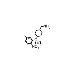 Cl.NC[C@H]1CC[C@@H](Oc2cc(F)ccc2[N+](=O)[O-])CC1